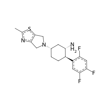 Cc1nc2c(s1)CN([C@H]1CC[C@H](c3cc(F)c(F)cc3F)[C@@H](N)C1)C2